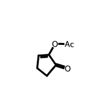 CC(=O)OC1=CCCC1=O